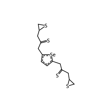 S=C(Cc1ccc(CC(=S)CC2CS2)[se]1)CC1CS1